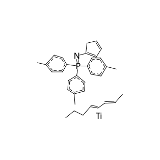 CC=CC=CCCC.Cc1ccc(P(=NC2=CC=CC2)(c2ccc(C)cc2)c2ccc(C)cc2)cc1.[Ti]